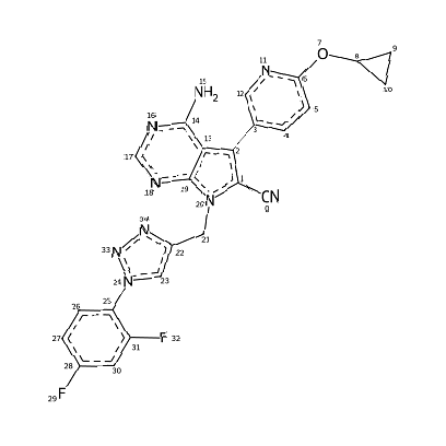 N#Cc1c(-c2ccc(OC3CC3)nc2)c2c(N)ncnc2n1Cc1cn(-c2ccc(F)cc2F)nn1